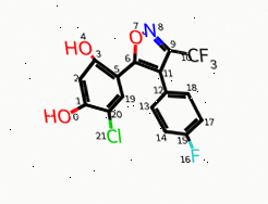 Oc1cc(O)c(-c2onc(C(F)(F)F)c2-c2ccc(F)cc2)cc1Cl